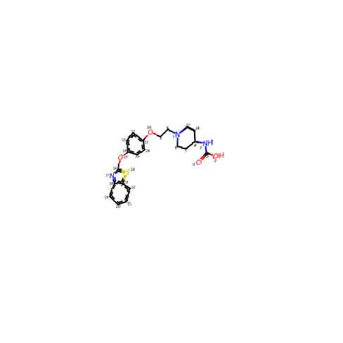 O=C(O)NC1CCN(CCOc2ccc(Oc3nc4ccccc4s3)cc2)CC1